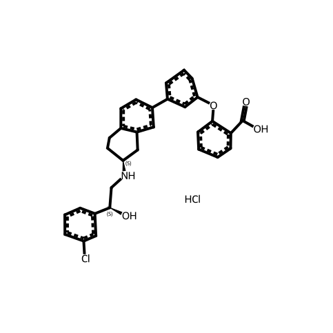 Cl.O=C(O)c1ccccc1Oc1cccc(-c2ccc3c(c2)C[C@@H](NC[C@@H](O)c2cccc(Cl)c2)CC3)c1